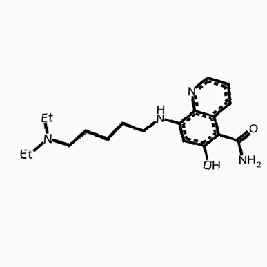 CCN(CC)CCCCCNc1cc(O)c(C(N)=O)c2cccnc12